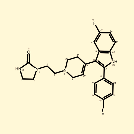 O=C1NCCN1CCN1CC=C(c2c(-c3ccc(F)cc3)[nH]c3ccc(F)cc23)CC1